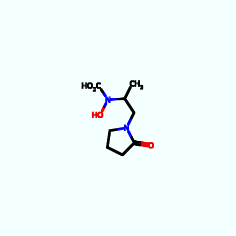 CC(CN1CCCC1=O)N(O)C(=O)O